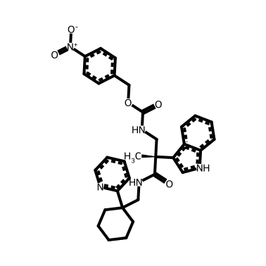 C[C@](CNC(=O)OCc1ccc([N+](=O)[O-])cc1)(C(=O)NCC1(c2ccccn2)CCCCC1)c1c[nH]c2ccccc12